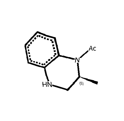 CC(=O)N1c2ccccc2NC[C@@H]1C